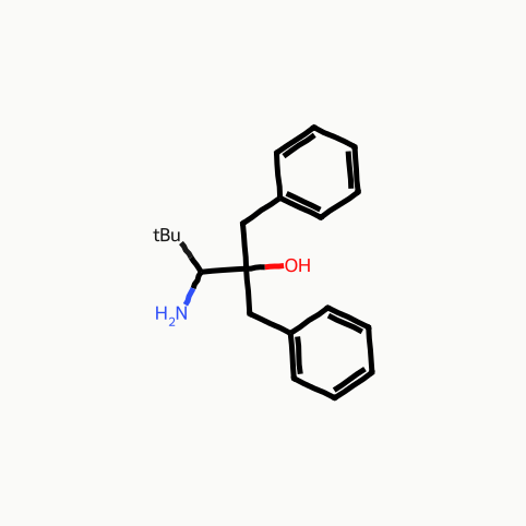 CC(C)(C)C(N)C(O)(Cc1ccccc1)Cc1ccccc1